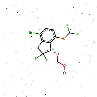 CCOCO[C@H]1c2c(SC(F)F)ccc(Br)c2CC1(F)F